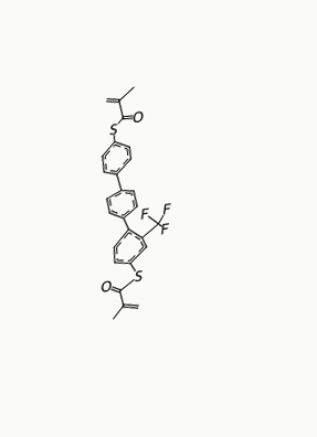 C=C(C)C(=O)Sc1ccc(-c2ccc(-c3ccc(SC(=O)C(=C)C)cc3C(F)(F)F)cc2)cc1